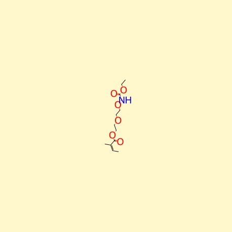 CC=C(C)C(=O)OCCOCCONC(=O)OCC